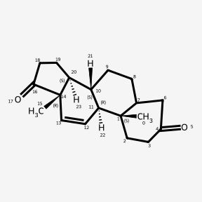 C[C@]12CCC(=O)CC1CC[C@@H]1[C@@H]2C=C[C@]2(C)C(=O)CC[C@@H]12